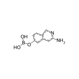 Nc1cc2cc(OB(O)O)ccc2cn1